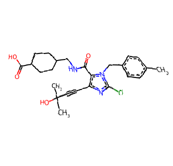 Cc1ccc(Cn2c(Cl)nc(C#CC(C)(C)O)c2C(=O)NCC2CCC(C(=O)O)CC2)cc1